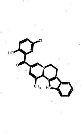 CC1=CC(C(=O)c2cc(Cl)ccc2O)=CN2CCc3c([nH]c4ccccc34)C12